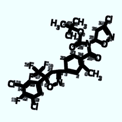 Cc1cc(C2=NOC(c3cc(Cl)c(F)c(Cl)c3)(C(F)(F)F)C2)ccc1C(=O)N(C(=O)OC(C)(C)C)C1CC(Cl)=NO1